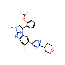 CN1CC(c2ccccc2OC(F)F)n2c1nc1cc(F)c(-c3cnc(C4CCOCC4)nc3)cc12